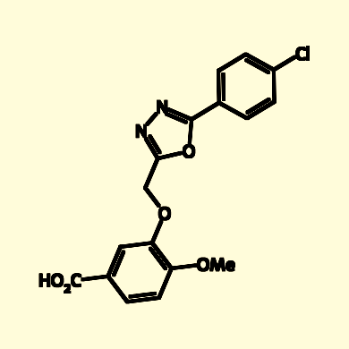 COc1ccc(C(=O)O)cc1OCc1nnc(-c2ccc(Cl)cc2)o1